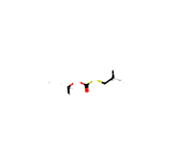 CC(=O)N[C@@H](CSC(=O)O[C@H](C)OC(C)=O)C(=O)O